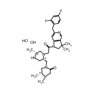 C[C@@H]1CN(CC(=O)N2CC(C)(C)c3cnc(Cc4ccc(F)cc4F)cc32)[C@@H](CN2C[C@@H](C)N(C)CC2=O)CN1.Cl.Cl